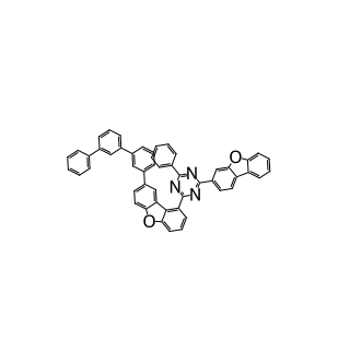 c1ccc(-c2cccc(-c3cccc(-c4ccc5oc6cccc(-c7nc(-c8ccccc8)nc(-c8ccc9c(c8)oc8ccccc89)n7)c6c5c4)c3)c2)cc1